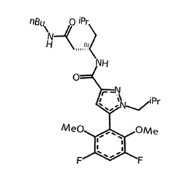 CCCCNC(=O)C[C@H](CC(C)C)NC(=O)c1cc(-c2c(OC)c(F)cc(F)c2OC)n(CC(C)C)n1